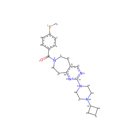 CSc1ccc(C(=O)N2CCc3cnc(N4CCN(C5CCC5)CC4)nc3CC2)cc1